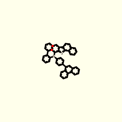 c1ccc(-c2ccccc2N(c2ccc(-c3cc4ccccc4c4ccccc34)cc2)c2cccc3c2sc2c4ccccc4ccc32)cc1